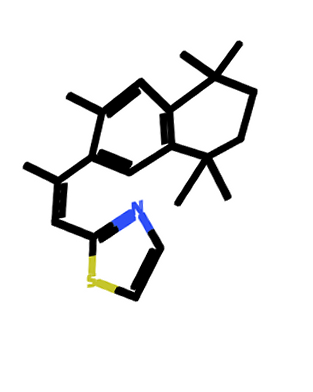 C/C(=C/c1nccs1)c1cc2c(cc1C)C(C)(C)CCC2(C)C